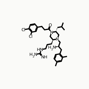 Cc1ccc(C[C@@H](N)CN2C[C@@H](CC(C)C)N(C(=O)CCc3ccc(Cl)c(Cl)c3)C[C@@H]2CCCNC(=N)N)c(C)c1